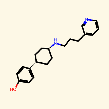 Oc1ccc([C@H]2CC[C@H](NCCCc3cccnc3)CC2)cc1